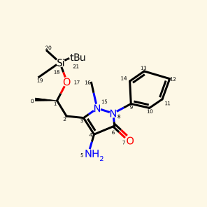 C[C@H](Cc1c(N)c(=O)n(-c2ccccc2)n1C)O[Si](C)(C)C(C)(C)C